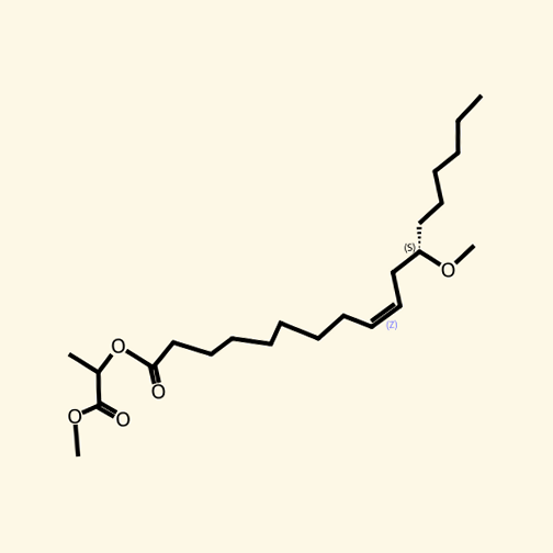 CCCCCC[C@@H](C/C=C\CCCCCCCC(=O)OC(C)C(=O)OC)OC